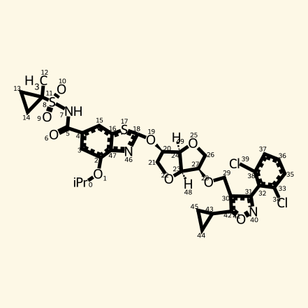 CC(C)Oc1cc(C(=O)NS(=O)(=O)C2(C)CC2)cc2sc(O[C@@H]3CO[C@H]4[C@@H]3OC[C@H]4OCc3c(-c4c(Cl)cccc4Cl)noc3C3CC3)nc12